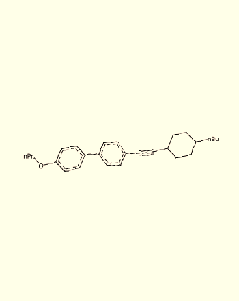 CCCCC1CCC(C#Cc2ccc(-c3ccc(OCCC)cc3)cc2)CC1